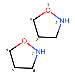 C1CNOC1.C1CNOC1